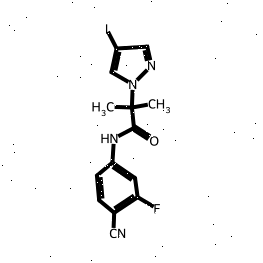 CC(C)(C(=O)Nc1ccc(C#N)c(F)c1)n1cc(I)cn1